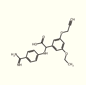 C#CCOc1cc(OCC)cc(C(Nc2ccc(C(=N)N)cc2)C(=O)O)c1